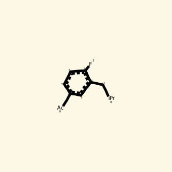 CC(=O)c1ccc(F)c(CC(C)C)c1